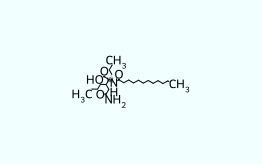 CCCCCCCCCCCC(=O)N[C@](CCCC)(C(=O)O)C(CCCC)CC(N)=O